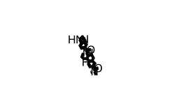 CN(C)C(=O)c1ccc2c(c1)CC[C@H]1[C@@H]2CCCN1C(=O)c1ccc2[nH]cnc2c1